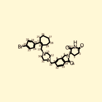 O=C1CCC(N2Cc3cc(CN4CCN(CC5=C(c6ccc(Br)cc6)CCCCC5)CC4)ccc3C2=O)C(=O)N1